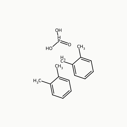 Cc1ccccc1C.Cc1ccccc1C.O=[PH](O)O